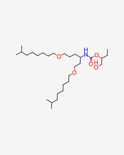 CCC(CO)OC(=O)NC(CCCOCCCCCCC(C)C)CCOCCCCCCC(C)C